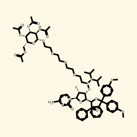 COc1ccc(C(OC(C(=O)c2ccccc2)[C@H]2O[C@@H](n3ccc(N)nc3=O)[C@H](F)[C@@H]2OP(CCOCCOCCOCCO[C@@H]2O[C@H](COC(C)=O)[C@H](OC(C)=O)[C@H](OC(C)=O)[C@H]2NC(C)=O)N(C(C)C)C(C)C)(c2ccccc2)c2ccc(OC)cc2)cc1